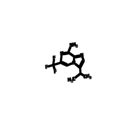 CC(C)c1cnc2c(N)nc(C(F)(F)F)cn12